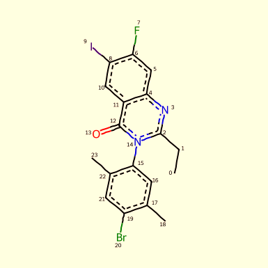 CCc1nc2cc(F)c(I)cc2c(=O)n1-c1cc(C)c(Br)cc1C